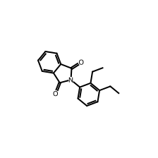 CCc1cccc(N2C(=O)c3ccccc3C2=O)c1CC